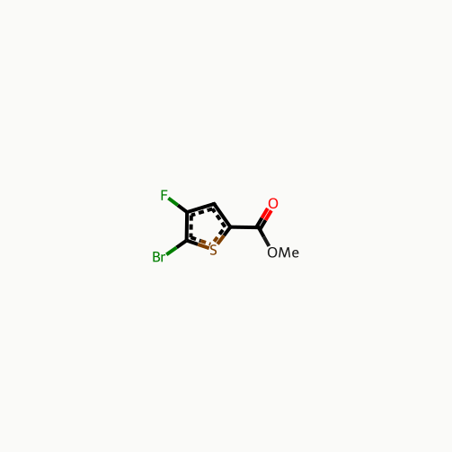 COC(=O)c1cc(F)c(Br)s1